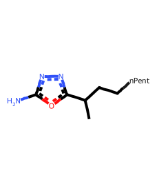 CCCCCCCC(C)c1nnc(N)o1